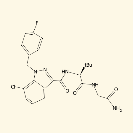 CC(C)(C)[C@H](NC(=O)c1nn(Cc2ccc(F)cc2)c2c(Cl)cccc12)C(=O)NCC(N)=O